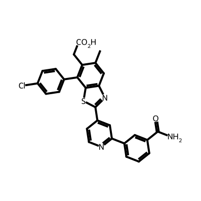 Cc1cc2nc(-c3ccnc(-c4cccc(C(N)=O)c4)c3)sc2c(-c2ccc(Cl)cc2)c1CC(=O)O